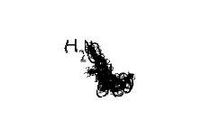 CCC(=O)O[C@@H]1C(=O)OCc2c1cc1n(c2=O)Cc2c-1nc1ccc(OC(N)=O)cc1c2CC